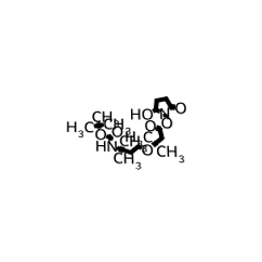 CC(C)(CCOC(C)(C)CC(=O)ON1C(=O)CCC1O)NC(=O)OC(C)(C)C